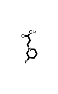 O=C(O)CCN1CCCC(F)C1